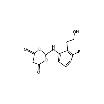 O=C1CC(=O)OC(Nc2cccc(F)c2CCO)O1